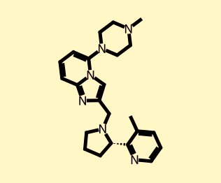 Cc1cccnc1[C@@H]1CCCN1Cc1cn2c(N3CCN(C)CC3)cccc2n1